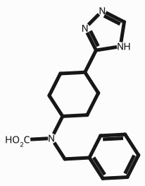 O=C(O)N(Cc1ccccc1)C1CCC(c2nnc[nH]2)CC1